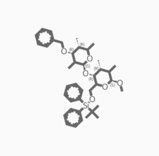 CO[C@H]1OC(CO[Si](c2ccccc2)(c2ccccc2)C(C)(C)C)[C@H](O[C@@H]2OC(C)[C@@H](C)[C@@H](OCc3ccccc3)C2C)[C@H](C)C1C